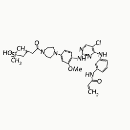 C=CC(=O)Nc1cccc(Nc2nc(Nc3ccc(N4CCN(C(=O)CCC[Si](C)(C)O)CC4)cc3OC)ncc2Cl)c1